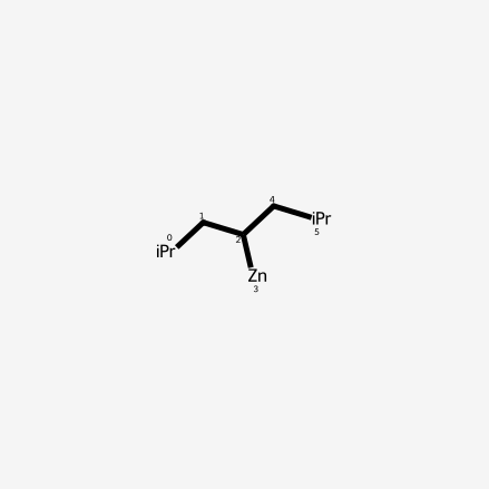 CC(C)C[CH]([Zn])CC(C)C